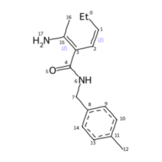 CC/C=C\C(C(=O)NCc1ccc(C)cc1)=C(/C)N